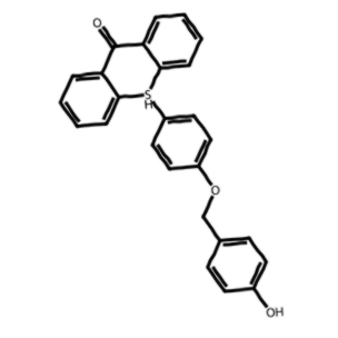 O=C1c2ccccc2[SH](c2ccc(OCc3ccc(O)cc3)cc2)c2ccccc21